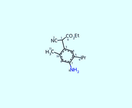 CCOC(=O)C(C#N)c1cc(C(C)C)c(N)cc1C